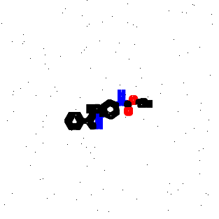 CC(C)(C)OC(=O)N[C@H]1CC[C@@H](n2ncc(-c3ccccc3)c2[N+](=O)[O-])CC1